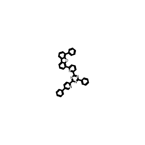 c1ccc(-c2ccc(-c3nc(-c4ccccc4)nc(-c4cccc(-c5cccc6c5oc5c(-c7ccccc7)cccc56)n4)n3)nc2)cc1